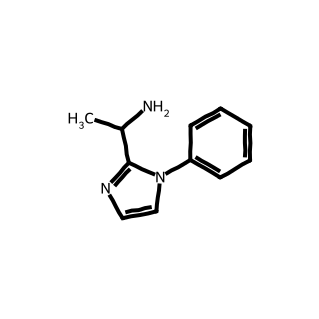 CC(N)c1nccn1-c1ccccc1